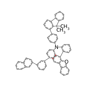 CC1(C)c2ccccc2-c2cccc(-c3ccc(N(c4ccc(-c5cccc(-c6ccc7ccccc7c6)c5)cc4)c4ccccc4-c4cccc5c4oc4ccccc45)cc3)c21